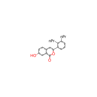 CCCc1cccc(-c2cc3ccc(O)cc3c(=O)o2)c1CCC